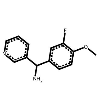 COc1ccc(C(N)c2cccnc2)cc1F